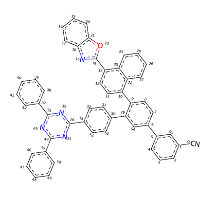 N#Cc1cccc(-c2ccc(-c3ccc(-c4nc5ccccc5o4)c4ccccc34)c(-c3ccc(-c4nc(-c5ccccc5)nc(-c5ccccc5)n4)cc3)c2)c1